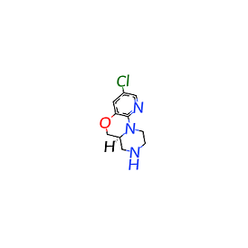 Clc1cnc2c(c1)OC[C@@H]1CNCCN21